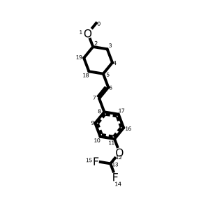 COC1CCC(C=Cc2ccc(OC(F)F)cc2)CC1